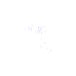 Cc1cc2cc(OCC3=CC=CN(C(C)(C)C(N)=O)N3)ccc2o1